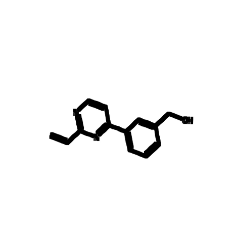 C=Cc1nccc(-c2cccc(CO)c2)n1